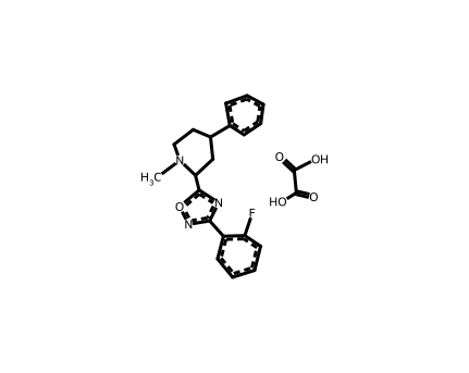 CN1CCC(c2ccccc2)CC1c1nc(-c2ccccc2F)no1.O=C(O)C(=O)O